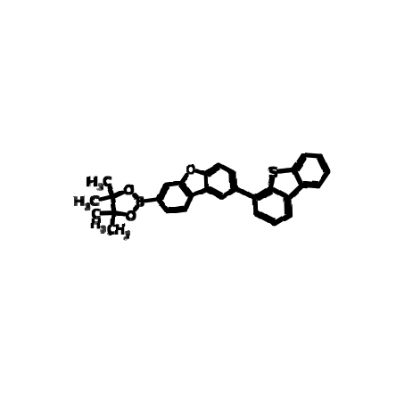 CC1(C)OB(c2ccc3c(c2)oc2ccc(-c4cccc5c4sc4ccccc45)cc23)OC1(C)C